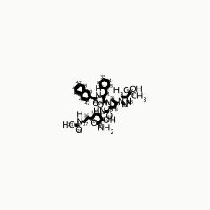 CC(C)(O)c1cn([C@H]2C[C@@H](C(=O)NC(CCCCNC(=O)O)C(O)C(N)=O)N(C(=O)C(CC3CCCCC3)NC(=O)c3ccc4ccccc4c3)C2)nn1